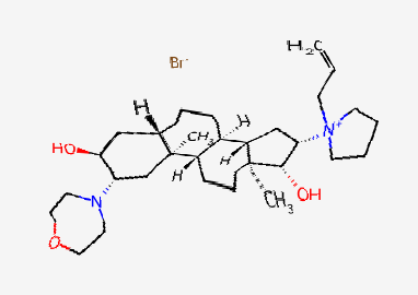 C=CC[N+]1([C@H]2C[C@H]3[C@@H]4CC[C@H]5C[C@H](O)[C@@H](N6CCOCC6)C[C@]5(C)[C@H]4CC[C@]3(C)[C@H]2O)CCCC1.[Br-]